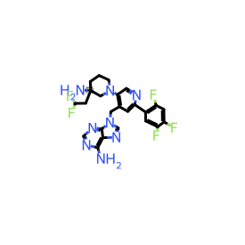 Nc1ncnc2c1ncn2Cc1cc(-c2cc(F)c(F)cc2F)ncc1N1CCC[C@@](N)(CC(F)F)C1